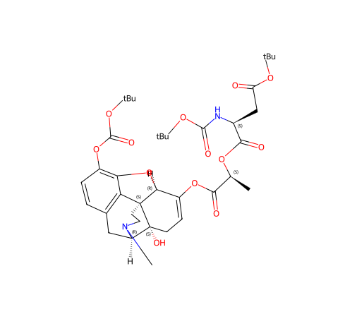 C[C@H](OC(=O)[C@H](CC(=O)OC(C)(C)C)NC(=O)OC(C)(C)C)C(=O)OC1=CC[C@@]2(O)[C@H]3Cc4ccc(OC(=O)OC(C)(C)C)c5c4[C@@]2(CCN3C)[C@H]1O5